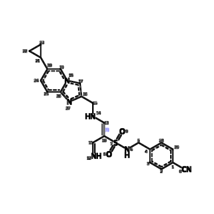 N#Cc1ccc(CNS(=O)(=O)/C(C=N)=C/NCc2cn3cc(C4CC4)ccc3n2)cc1